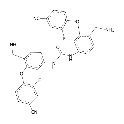 N#Cc1ccc(Oc2cc(NC(=O)Nc3ccc(CN)c(Oc4ccc(C#N)cc4F)c3)ccc2CN)c(F)c1